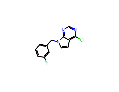 Fc1cccc(Cn2ccc3c(Cl)ncnc32)c1